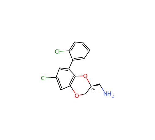 NC[C@H]1COc2cc(Cl)cc(-c3ccccc3Cl)c2O1